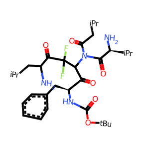 CC(C)CC(=O)N(C(=O)[C@@H](N)C(C)C)C(C(=O)[C@H](Cc1ccccc1)NC(=O)OC(C)(C)C)C(F)(F)C(=O)C(N)CC(C)C